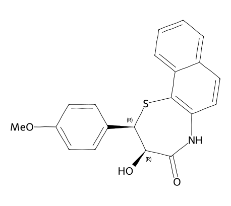 COc1ccc([C@H]2Sc3c(ccc4ccccc34)NC(=O)[C@H]2O)cc1